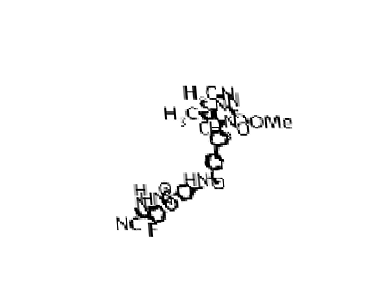 COC(=O)C[C@@H]1N=C(c2ccc(-c3ccc(C(=O)NCc4ccc(S(=O)(=O)Nc5ccc(F)c6c(C#N)c[nH]c56)cc4)cc3)cc2)c2c(sc(C)c2C)-n2c(C)nnc21